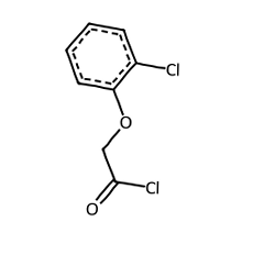 O=C(Cl)COc1ccccc1Cl